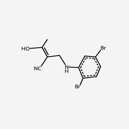 C/C(O)=C(/C#N)CNc1cc(Br)ccc1Br